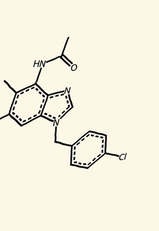 CC(=O)Nc1c(C)c(C)cc2c1ncn2Cc1ccc(Cl)cc1